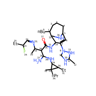 CCCCC1CCCC2C=C(N3CNC(C)N3)C(NC(=O)C(C(C)/N=C\C(F)CC)C(N)NC3C(CC)C3(C)CCC)C1N2